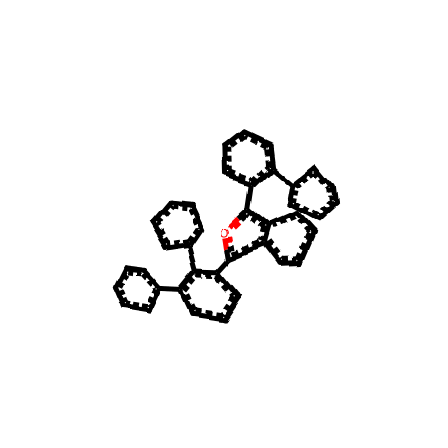 c1ccc(-c2ccccc2-c2oc(-c3cccc(-c4ccccc4)c3-c3ccccc3)c3ccccc23)cc1